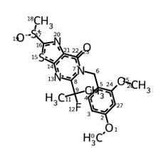 COc1ccc(Cn2c(C(C)(C)F)nc3sc([S+](C)[O-])nc3c2=O)c(OC)c1